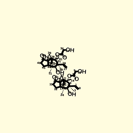 C=C[C@]1(C)C[C@@H](OC(=O)CO)[C@]2(C)[C@H](C)CC[C@]3(CCC(=O)[C@@H]32)[C@@H](C)[C@@H]1O.C=C[C@]1(C)C[C@@H](OC(=O)CO)[C@]2(C)[C@H](C)CC[C@]3(CCC(=O)[C@@H]32)[C@@H](C)[C@@H]1O